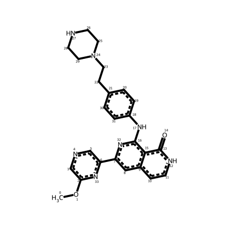 COc1cncc(-c2cc3cc[nH]c(=O)c3c(Nc3ccc(CCN4CCNCC4)cc3)n2)n1